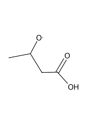 CC([O])CC(=O)O